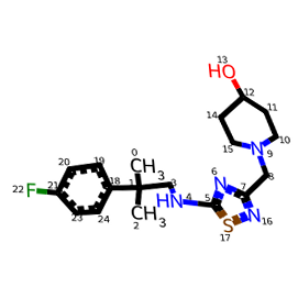 CC(C)(CNc1nc(CN2CCC(O)CC2)ns1)c1ccc(F)cc1